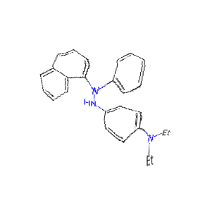 CCN(CC)c1ccc(NN(c2ccccc2)c2cccc3ccccc23)cc1